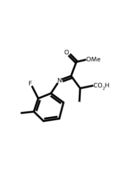 COC(=O)C(=Nc1cccc(C)c1F)C(C)C(=O)O